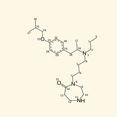 CCCN(CCCCN1CCNCCC1=O)C(C)Cc1ccc(OCC(C)C)cc1